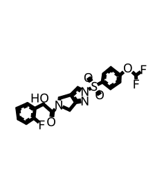 O=C([C@H](O)c1ccccc1F)N1Cc2cn(S(=O)(=O)c3ccc(OC(F)F)cc3)nc2C1